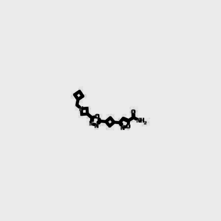 NC(=O)c1cc(C2CC(c3nnc(C4CN(CC5CCC5)C4)o3)C2)no1